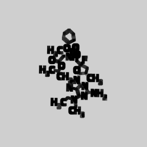 CCN(CC)c1nc(N)nc2c1ncn2[C@@H]1O[C@](F)(CO[P@@](=O)(N[C@@H](C)C(=O)OC(C)C)Oc2ccccc2)C[C@@H]1C